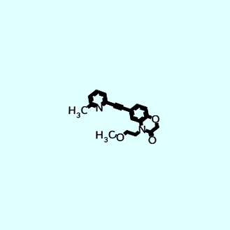 COCCN1C(=O)COc2ccc(C#Cc3cccc(C)n3)cc21